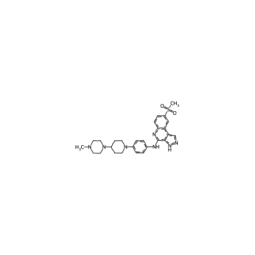 CN1CCN(C2CCN(c3ccc(Nc4nc5ccc(S(C)(=O)=O)cc5c5cn[nH]c45)cc3)CC2)CC1